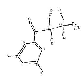 Cc1[c]c(C)cc(C(=O)C(F)(F)C(F)(F)C(F)(F)F)c1